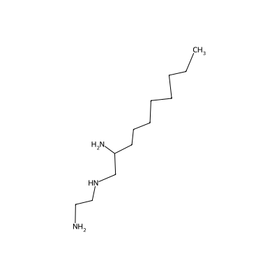 CCCCCCCCC(N)CNCCN